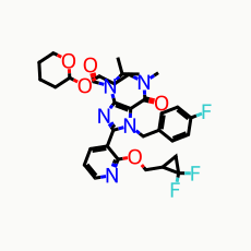 CC(C)N(C=O)c1nc(-c2cccnc2OCC2CC2(F)F)n(Cc2ccc(F)cc2)c1C(=O)N(C)CCCOC1CCCCO1